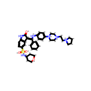 O=C1Nc2ccc(S(=O)(=O)NC3CCOCC3)cc2/C1=C(/Nc1ccc(N2CCN(CCN3CCCC3)CC2)cc1)c1ccccc1